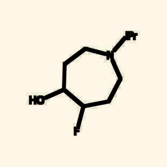 CC(C)N1CCC(O)C(F)CC1